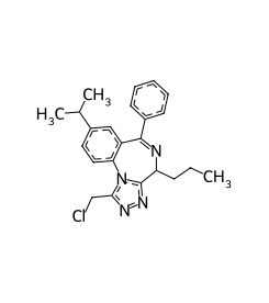 CCCC1N=C(c2ccccc2)c2cc(C(C)C)ccc2-n2c(CCl)nnc21